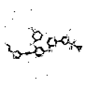 O=S(=O)(C1CC1)n1cc(-c2nccc(Nc3cc(NC4CCC[C@H](O)C4)c(C#Cc4cnn(CCF)c4)cn3)n2)cn1